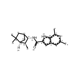 Cc1nc(F)cc2cc(C(=O)N[C@H]3C4C[C@@H]([C@@H]3C)C(C)(C)C4)[nH]c12